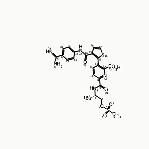 CC(C)(C)[C@@H](COS(C)(=O)=O)NC(=O)c1ccc(-c2sccc2C(=O)Nc2ccc(C(=N)N)cc2)c(C(=O)O)n1